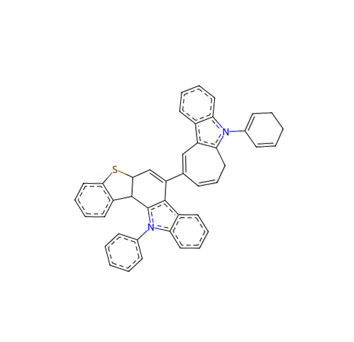 C1=CC(n2c3c(c4ccccc42)C=C(C2=CC4Sc5ccccc5C4c4c2c2ccccc2n4-c2ccccc2)C=CC3)=CCC1